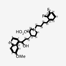 COc1ccc2nccc(C(O)CC[C@@H]3CCN(CCCCc4cccc(F)c4F)C[C@@H]3C(=O)O)c2c1